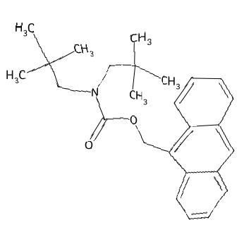 CC(C)(C)CN(CC(C)(C)C)C(=O)OCc1c2ccccc2cc2ccccc12